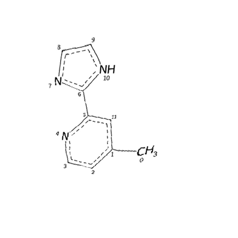 Cc1ccnc(-c2ncc[nH]2)c1